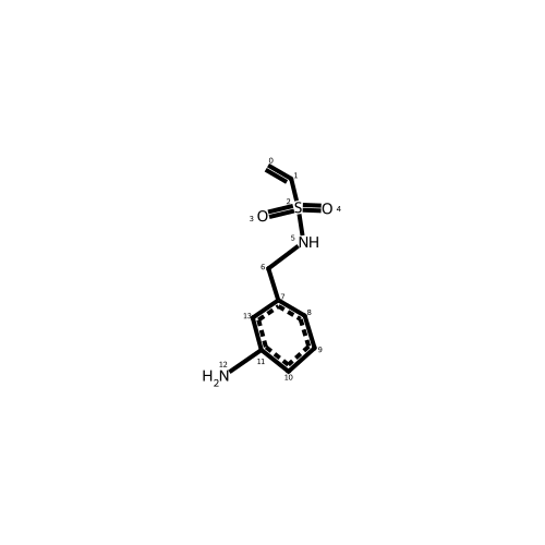 C=CS(=O)(=O)NCc1cccc(N)c1